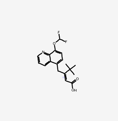 CC(C)(C)/C(=C\C(=O)O)Cc1ccc(OC(F)F)c2ncccc12